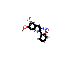 COc1cc2cc(N)c(-c3ccccc3Br)nc2cc1OC